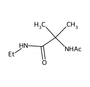 CCNC(=O)C(C)(C)NC(C)=O